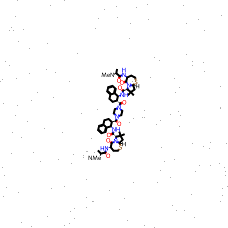 CN[C@@H](C)C(=O)N[C@H]1CCS[C@H]2CC(C)(C)[C@@H](C(=O)N[C@@H]3c4ccccc4CC[C@H]3C(=O)N3CCN(C(=O)[C@@H]4CCc5ccccc5[C@H]4NC(=O)[C@H]4N5C(=O)[C@@H](NC(=O)[C@H](C)NC)CCS[C@H]5CC4(C)C)CC3)N2C1=O